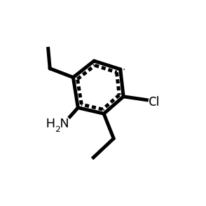 CCc1c[c]c(Cl)c(CC)c1N